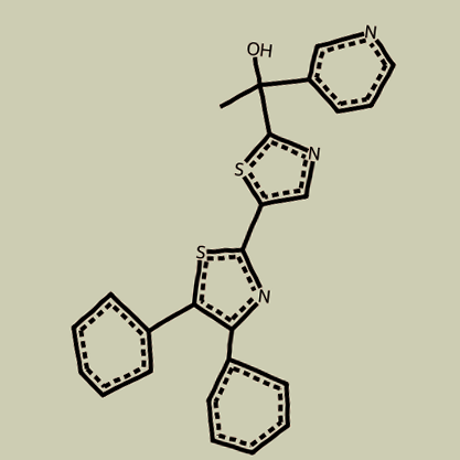 CC(O)(c1cccnc1)c1ncc(-c2nc(-c3ccccc3)c(-c3ccccc3)s2)s1